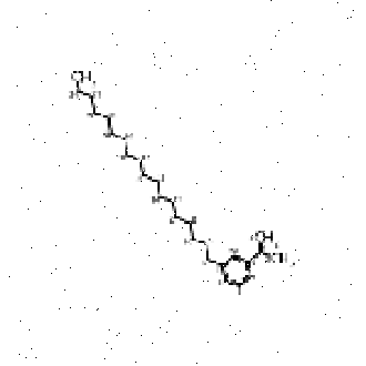 C=C(C)c1cccc(CCCCCCCCCCCCCCCCCC)c1